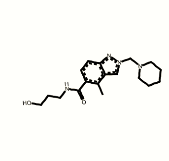 Cc1c(C(=O)NCCCO)ccc2nn(CN3CCCCC3)cc12